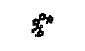 Cc1oncc1-c1cccc(-c2ccnc(N(C#N)C(=O)[C@H]3CCNC3)c2)c1